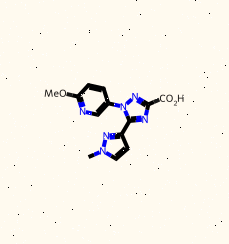 COc1ccc(-n2nc(C(=O)O)nc2-c2ccn(C)n2)cn1